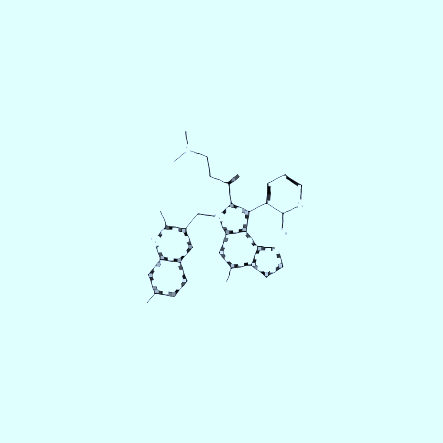 CN(C)CCC(=O)c1c(C2=CC=CNC2O)c2c3occc3c(F)cc2n1Cc1cc2ccc(O)cc2nc1Cl